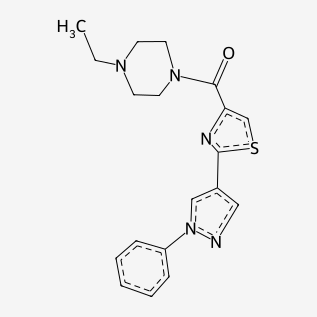 CCN1CCN(C(=O)c2csc(-c3cnn(-c4ccccc4)c3)n2)CC1